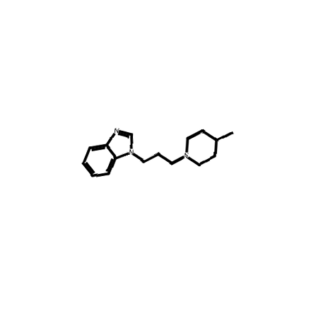 CC1CCN(CCCn2cnc3ccccc32)CC1